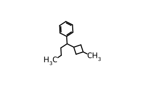 CCCC(c1ccccc1)C1CC(C)C1